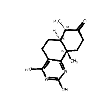 C[C@@H]1C(=O)CC[C@]2(C)c3nc(O)nc(O)c3CC[C@@H]12